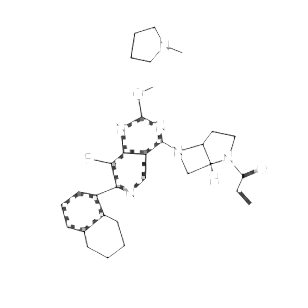 C=CC(=O)N1CCC2[C@H]1CN2c1nc(OC[C@@H]2CCCN2C)nc2c(F)c(-c3cccc4c3CCCC4)ncc12